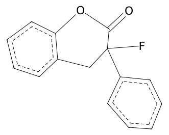 O=C1Oc2ccccc2CC1(F)c1ccccc1